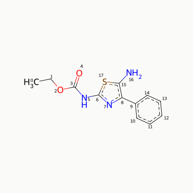 CCOC(=O)Nc1nc(-c2ccccc2)c(N)s1